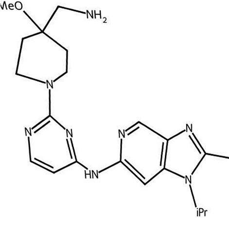 COC1(CN)CCN(c2nccc(Nc3cc4c(cn3)nc(C)n4C(C)C)n2)CC1